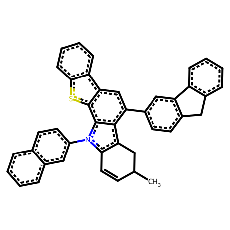 CC1C=Cc2c(c3c(-c4ccc5c(c4)-c4ccccc4C5)cc4c5ccccc5sc4c3n2-c2ccc3ccccc3c2)C1